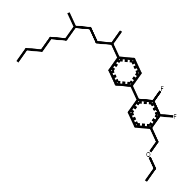 CCCCCC(C)CCC(C)c1ccc(-c2ccc(COCC)c(F)c2F)cc1